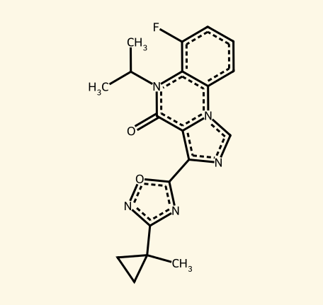 CC(C)n1c(=O)c2c(-c3nc(C4(C)CC4)no3)ncn2c2cccc(F)c21